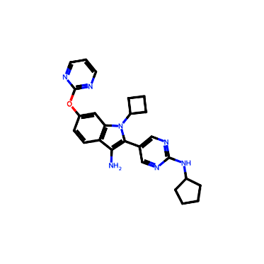 Nc1c(-c2cnc(NC3CCCC3)nc2)n(C2CCC2)c2cc(Oc3ncccn3)ccc12